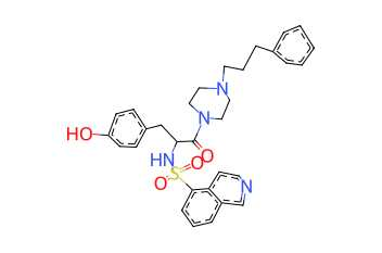 O=C(C(Cc1ccc(O)cc1)NS(=O)(=O)c1cccc2cnccc12)N1CCN(CCCc2ccccc2)CC1